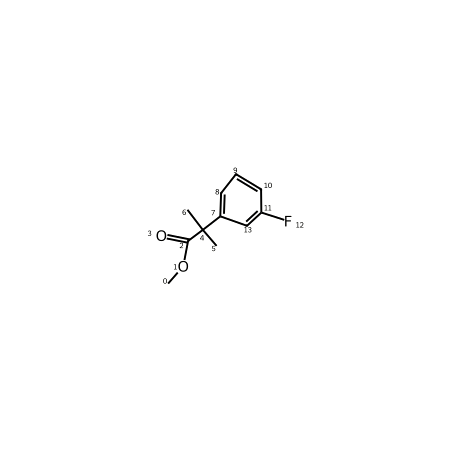 COC(=O)C(C)(C)c1cccc(F)c1